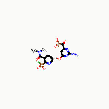 CN(C)C(=O)c1cccnc1S(=O)(=O)Cl.COc1cc(C(=O)[SH](=O)=O)nc(N)n1